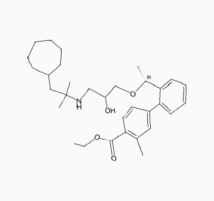 CCOC(=O)c1ccc(-c2ccccc2[C@@H](C)OCC(O)CNC(C)(C)CC2CCCCCC2)cc1C